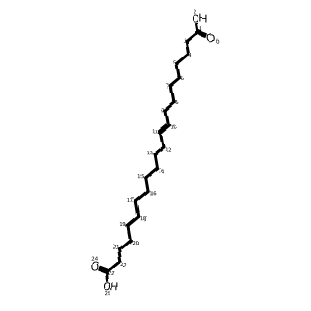 O=C(O)CCCCCCC/C=C/CCCCCCCCCCCC(=O)O